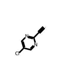 [C]#Cc1ncc(Cl)cn1